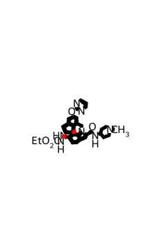 CCOC(=O)NC(=N)c1ccc2cc(C(=O)NC3CCN(C)CC3)n(Cc3cc(Oc4ncccn4)cc4ccccc34)c2c1